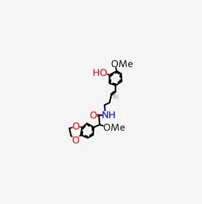 COc1ccc(/C=C/CCNC(=O)C(OC)c2ccc3c(c2)OCCO3)cc1O